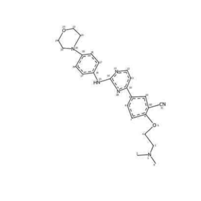 CN(C)CCOc1ccc(-c2ccnc(Nc3ccc(N4CCOCC4)cc3)n2)cc1C#N